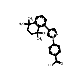 CC1(C)CCC(C)(C)c2c(-c3cnn(-c4ccc(C(=O)O)cc4)c3)cccc21